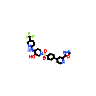 O=S(=O)(c1ccc(-c2ccnc(-c3nnco3)c2)cc1)N1CC[C@@H](Nc2ccc(C(F)(F)F)cn2)[C@@H](O)C1